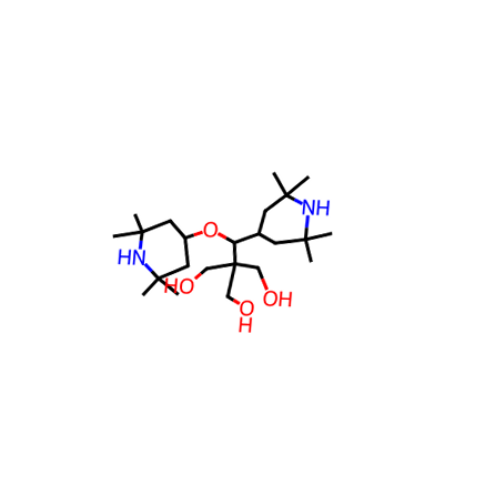 CC1(C)CC(OC(C2CC(C)(C)NC(C)(C)C2)C(CO)(CO)CO)CC(C)(C)N1